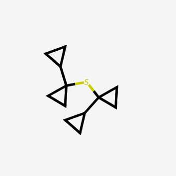 C1CC1C1(SC2(C3CC3)CC2)CC1